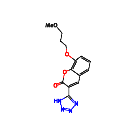 COCCCOc1cccc2cc(-c3nnn[nH]3)c(=O)oc12